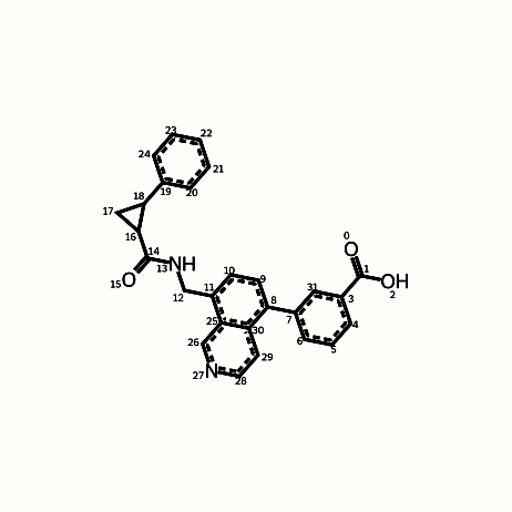 O=C(O)c1cccc(-c2ccc(CNC(=O)C3CC3c3ccccc3)c3cnccc23)c1